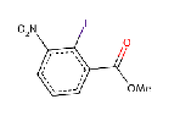 COC(=O)c1cccc([N+](=O)[O-])c1I